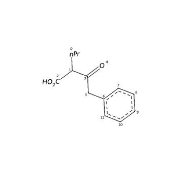 CCCC(C(=O)O)C(=O)Cc1ccccc1